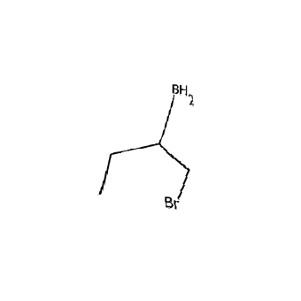 BC(CC)CBr